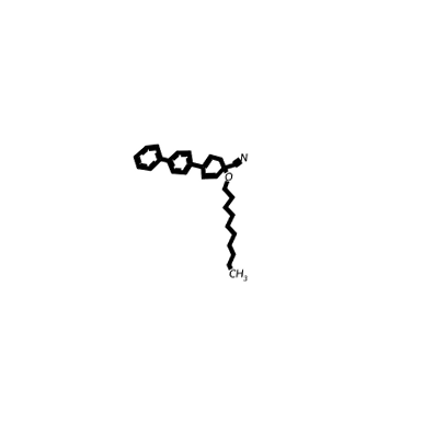 CCCCCCCCCCOC1(C#N)C=CC(c2ccc(-c3ccccc3)cc2)=CC1